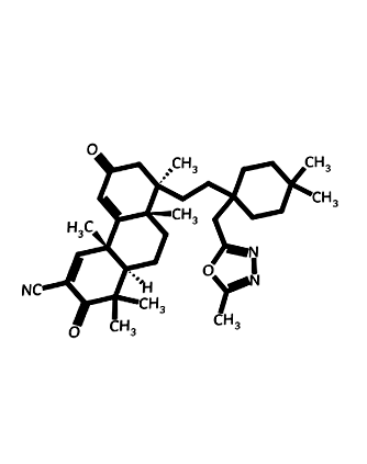 Cc1nnc(CC2(CC[C@]3(C)CC(=O)C=C4[C@@]5(C)C=C(C#N)C(=O)C(C)(C)[C@@H]5CC[C@]43C)CCC(C)(C)CC2)o1